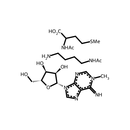 CC(=O)NCCCCN.CSCCC(NC(C)=O)C(=O)O.Cn1cnc2c(ncn2[C@@H]2O[C@H](CO)[C@@H](O)[C@H]2O)c1=N